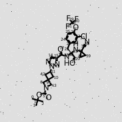 CC(C)(C)OC(=O)N1CC2(CC(n3ncc(C(=O)N[C@](C=O)(Cc4ccc(OC(F)(F)F)c(Cl)c4)NC4(C#N)CC4)n3)C2)C1